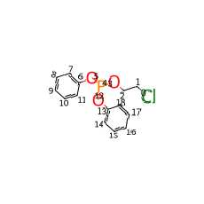 ClCCOP(Oc1ccccc1)Oc1ccccc1